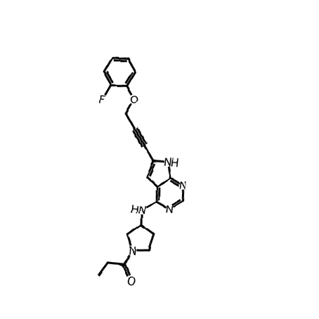 CCC(=O)N1CCC(Nc2ncnc3[nH]c(C#CCOc4ccccc4F)cc23)C1